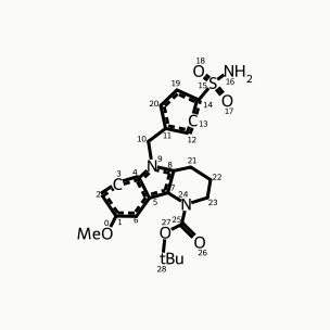 COc1ccc2c(c1)c1c(n2Cc2ccc(S(N)(=O)=O)cc2)CCCN1C(=O)OC(C)(C)C